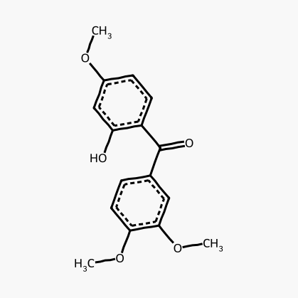 COc1ccc(C(=O)c2ccc(OC)c(OC)c2)c(O)c1